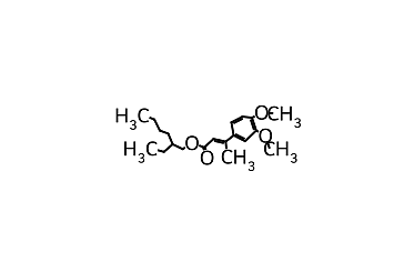 CCCCC(CC)COC(=O)/C=C(\C)c1ccc(OC)c(OC)c1